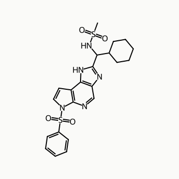 CS(=O)(=O)NC(c1nc2cnc3c(ccn3S(=O)(=O)c3ccccc3)c2[nH]1)C1CCCCC1